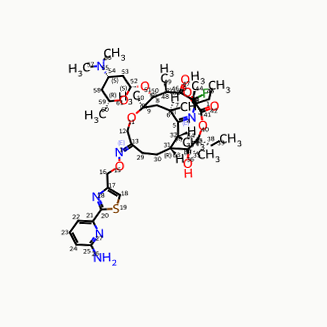 CCC(=O)/N=C1\[C@H](C)C[C@@]2(C)OC/C(=N/OCc3csc(-c4cccc(N)n4)n3)CC[C@H]([C@H]1C)[C@](C)(O)[C@@H](CC)OC(=O)[C@@](C)(F)C(=O)[C@H](C)[C@H]2O[C@H]1C[C@@H](N(C)C)C[C@@H](C)O1